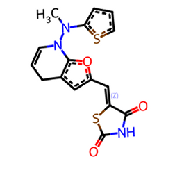 CN(c1cccs1)N1C=CCc2cc(/C=C3\SC(=O)NC3=O)oc21